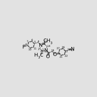 C[C@@H]1CN(Cc2ccc(F)cc2)[C@@H](C)CN1C(=O)COc1ccc(C#N)cc1